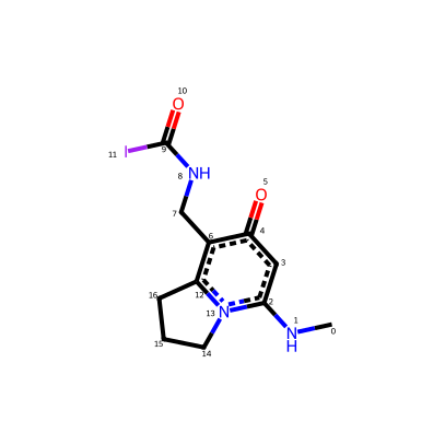 CNc1cc(=O)c(CNC(=O)I)c2n1CCC2